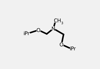 CC(C)OCN(C)COC(C)C